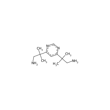 CC(C)(CN)c1cc(C(C)(C)CN)ncn1